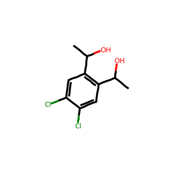 CC(O)c1cc(Cl)c(Cl)cc1C(C)O